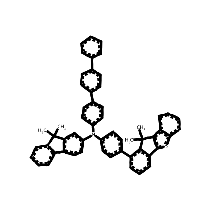 CC1(C)c2ccccc2-c2ccc(N(c3ccc(-c4ccc(-c5ccccc5)cc4)cc3)c3ccc(-c4cccc5c4C(C)(C)c4c-5oc5ccccc45)cc3)cc21